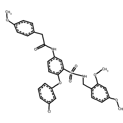 COc1ccc(CC(=O)Nc2ccc(Oc3cccc(Cl)c3)c(S(=O)(=O)NCc3ccc(OC)cc3OC)c2)cc1